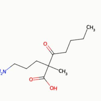 CCCCC(=O)C(C)(CCCN)C(=O)O